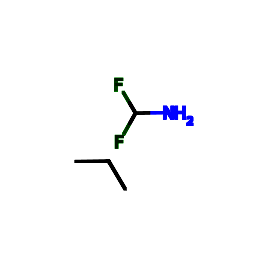 CCC.NC(F)F